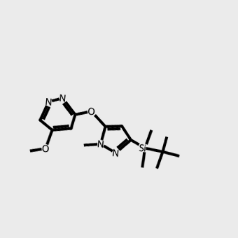 COc1cnnc(Oc2cc([Si](C)(C)C(C)(C)C)nn2C)c1